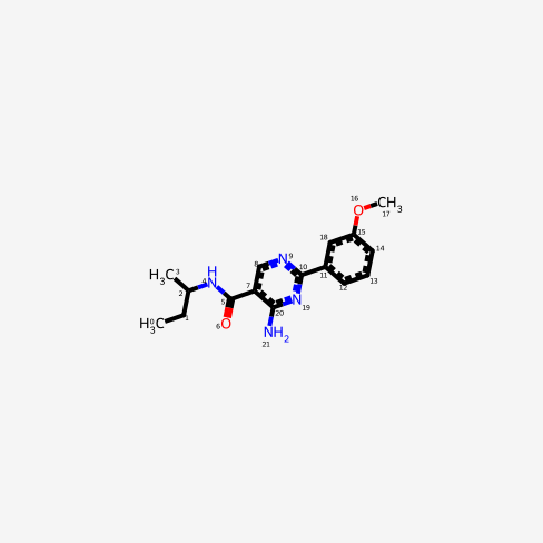 CCC(C)NC(=O)c1cnc(-c2cccc(OC)c2)nc1N